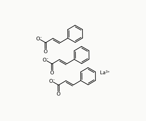 O=C([O-])C=Cc1ccccc1.O=C([O-])C=Cc1ccccc1.O=C([O-])C=Cc1ccccc1.[La+3]